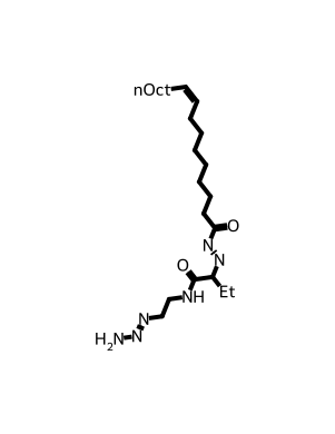 CCCCCCCC/C=C\CCCCCCCC(=O)N=NC(CC)C(=O)NCCN=NN